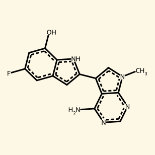 Cn1cc(-c2cc3cc(F)cc(O)c3[nH]2)c2c(N)ncnc21